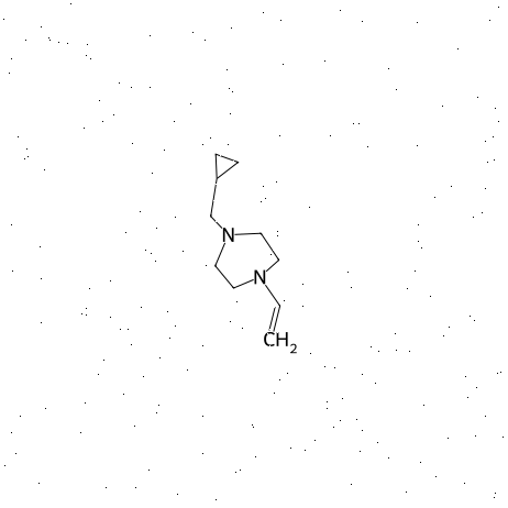 C=CN1CCN(CC2CC2)CC1